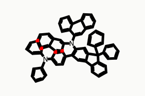 c1ccc(N(c2ccccc2)c2ccc(-c3cc4c(cc3N(c3ccc5ccccc5c3)c3cc5ccccc5c5ccccc35)C(c3ccccc3)(c3ccccc3)c3ccccc3-4)cc2)cc1